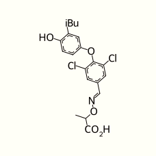 CCC(C)c1cc(Oc2c(Cl)cc(C=NOC(C)C(=O)O)cc2Cl)ccc1O